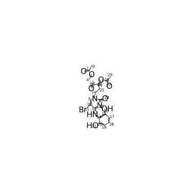 CC(=O)OC[C@H]1OC(n2cc(Br)c(Nc3c(O)cccc3O)nc2=O)C[C@H]1OC(C)=O